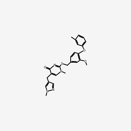 COc1cc(CSc2nc(=O)c(Cc3cnn(C)c3)cn2C)ccc1Oc1cccc(C)c1